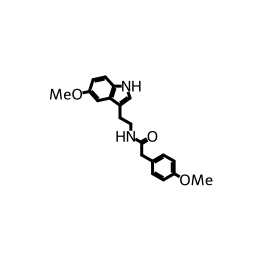 COc1ccc(CC(=O)NCCc2c[nH]c3ccc(OC)cc23)cc1